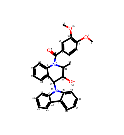 COc1ccc(C(=O)N2c3ccccc3C(n3c4ccccc4c4ccccc43)C(O)C2C)cc1OC